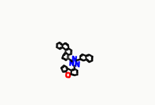 c1ccc2cc(-c3nc(-c4cccc5c4ccc4ccc6ccccc6c45)nc(-c4cccc5oc6ccccc6c45)n3)ccc2c1